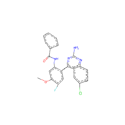 COc1cc(NC(=O)c2ccccc2)c(-c2nc(N)nc3ccc(Cl)cc23)cc1F